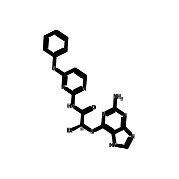 CC[C@H](Sc1nc(N)nc2nc[nH]c12)C(=O)Nc1nccc(Oc2ccccc2)n1